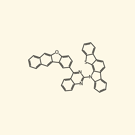 c1ccc2cc3c(cc2c1)oc1ccc(-c2nc(-n4c5ccccc5c5ccc6c7ccccc7sc6c54)nc4ccccc24)cc13